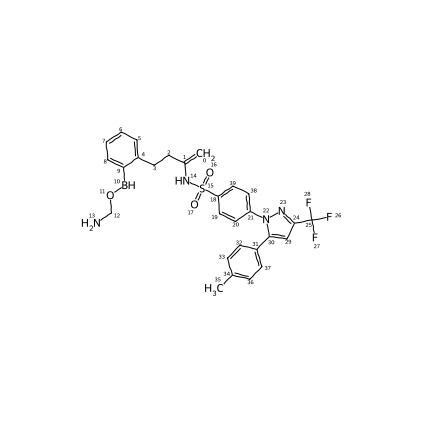 C=C(CCc1ccccc1BOCN)NS(=O)(=O)c1ccc(-n2nc(C(F)(F)F)cc2-c2ccc(C)cc2)cc1